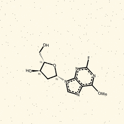 COc1nc(F)nc2c1ncn2[C@@H]1C[C@@H](O)[C@H](CO)O1